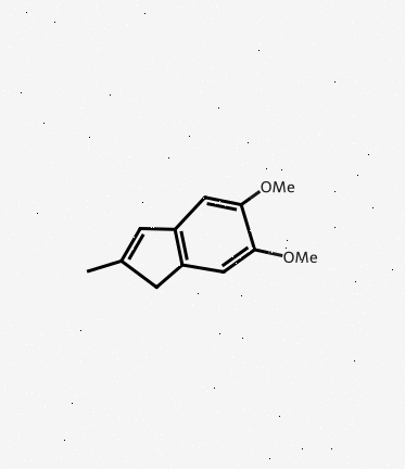 COc1cc2c(cc1OC)CC(C)=C2